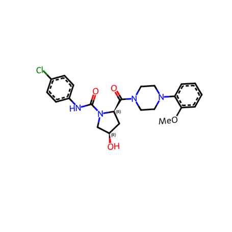 COc1ccccc1N1CCN(C(=O)[C@H]2C[C@@H](O)CN2C(=O)Nc2ccc(Cl)cc2)CC1